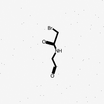 O=[C]CNC(=O)CBr